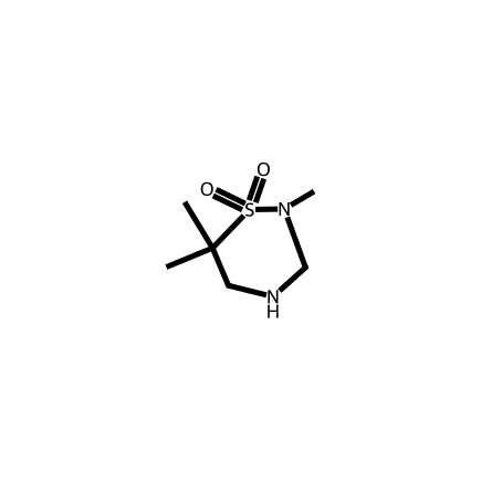 CN1CNCC(C)(C)S1(=O)=O